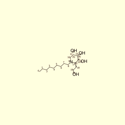 CCCCCCCCCN1C[C@H](O)[C@@H](O)[C@H](O)[C@H]1CCO